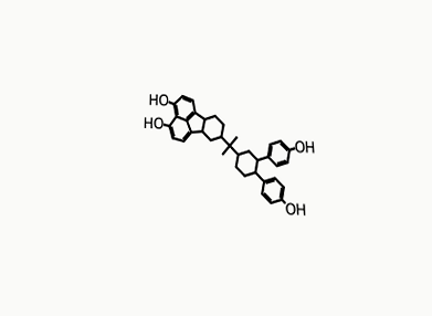 CC(C)(C1CCC(c2ccc(O)cc2)C(c2ccc(O)cc2)C1)C1CCC2c3ccc(O)c4c(O)ccc(c34)C2C1